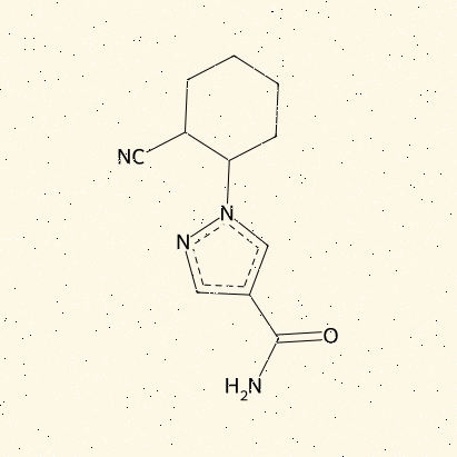 N#CC1CCCCC1n1cc(C(N)=O)cn1